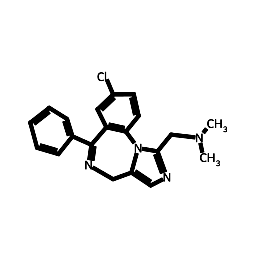 CN(C)Cc1ncc2n1-c1ccc(Cl)cc1C(c1ccccc1)=NC2